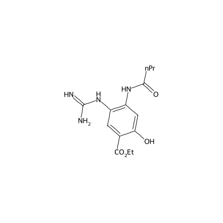 CCCC(=O)Nc1cc(O)c(C(=O)OCC)cc1NC(=N)N